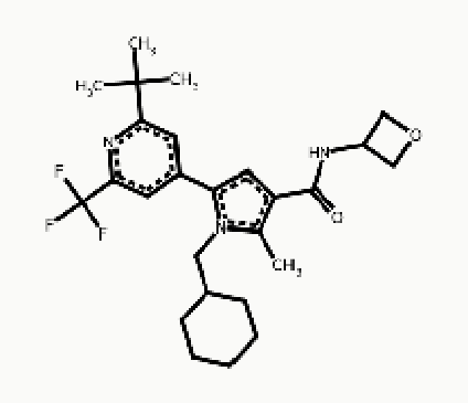 Cc1c(C(=O)NC2COC2)cc(-c2cc(C(C)(C)C)nc(C(F)(F)F)c2)n1CC1CCCCC1